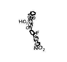 Cc1ccccc1S(=O)(=O)N(C[C@H]1CN(c2ccc(N3CCN(c4ccc([N+](=O)[O-])s4)CC3)c(F)c2)C(=O)O1)C(=O)O